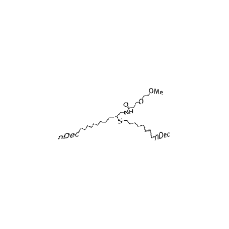 CCCCCCCCCCCCCCCCCCCC(CNC(=O)CCOCCOC)SCCCCCCCCCCCCCCCCCC